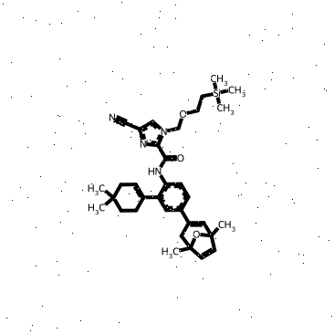 CC1(C)CC=C(c2cc(C3=CC4(C)C=CC(C)(C3)O4)ccc2NC(=O)c2nc(C#N)cn2COCC[Si](C)(C)C)CC1